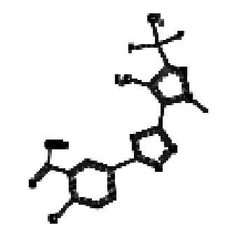 COC(=O)c1cc(-c2cc(-c3c(C(F)(F)F)c(C(F)(F)C(F)(F)F)nn3C)on2)ccc1Cl